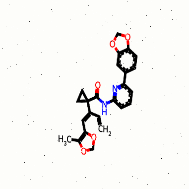 C=C/C(=C\C1=C(C)OCO1)C1(C(=O)Nc2cccc(-c3ccc4c(c3)OCO4)n2)CC1